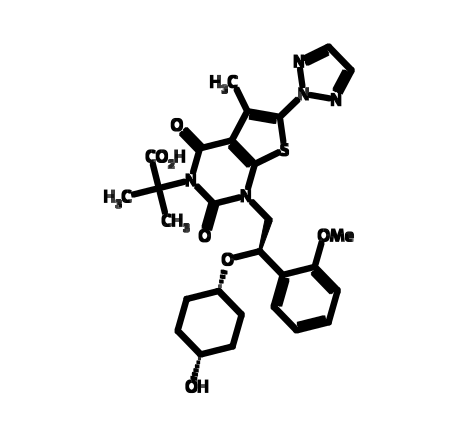 COc1ccccc1[C@H](Cn1c(=O)n(C(C)(C)C(=O)O)c(=O)c2c(C)c(-n3nccn3)sc21)O[C@H]1CC[C@@H](O)CC1